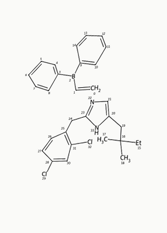 C=CB(c1ccccc1)c1ccccc1.CCC(C)(C)Cc1cnc(Cc2ccc(Cl)cc2Cl)[nH]1